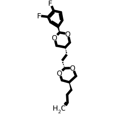 C=CCC[C@H]1CO[C@H](CC[C@H]2CO[C@H](c3ccc(F)c(F)c3)OC2)OC1